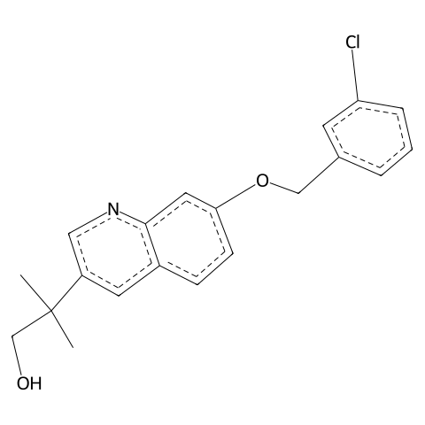 CC(C)(CO)c1cnc2cc(OCc3cccc(Cl)c3)ccc2c1